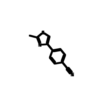 Cc1nc(-c2ccc(C#N)cc2)cs1